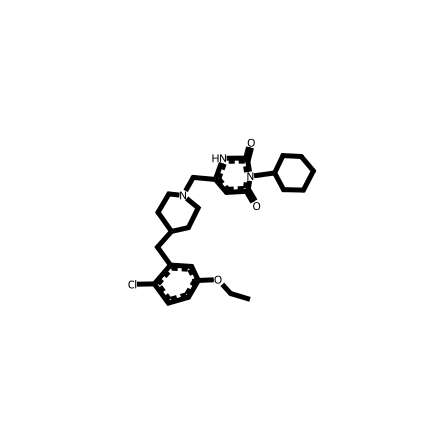 CCOc1ccc(Cl)c(CC2CCN(Cc3cc(=O)n(C4CCCCC4)c(=O)[nH]3)CC2)c1